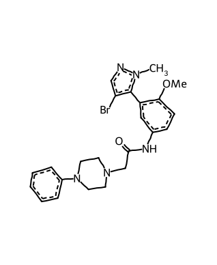 COc1ccc(NC(=O)CN2CCN(c3ccccc3)CC2)cc1-c1c(Br)cnn1C